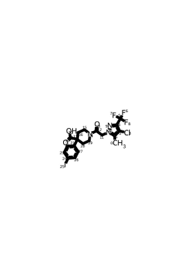 Cc1c(Cl)c(C(F)(F)F)nn1CC(=O)N1CCC(C(=O)O)(c2ccc(I)cc2)CC1